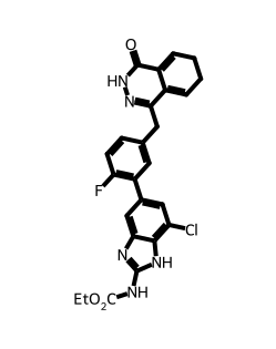 CCOC(=O)Nc1nc2cc(-c3cc(Cc4n[nH]c(=O)c5c4=CCCC=5)ccc3F)cc(Cl)c2[nH]1